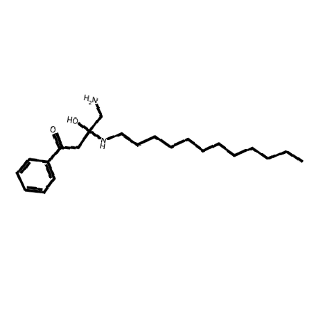 CCCCCCCCCCCCNC(O)(CN)CC(=O)c1ccccc1